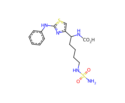 NS(=O)(=O)NCCCCC(NC(=O)O)c1csc(Nc2ccccc2)n1